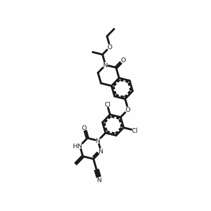 C=C1NC(=O)N(c2cc(Cl)c(Oc3ccc4c(c3)CCN(C(C)OCC)C4=O)c(Cl)c2)N=C1C#N